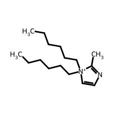 CCCCCC[N+]1(CCCCCC)C=CN=C1C